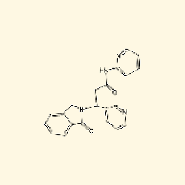 O=C(CC(c1cccnc1)N1Cc2ccccc2C1=O)Nc1ccccn1